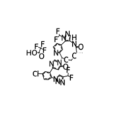 C[C@@H]1CCC[C@H](n2cnc(-c3cc(Cl)ccc3-n3cc(C(F)F)nn3)cc2=O)c2cc(ccn2)-c2c(cnn2C(F)F)NC1=O.O=C(O)C(F)(F)F